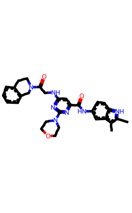 Cc1[nH]c2ccc(NC(=O)c3cc(NCC(=O)N4CCc5ccccc5C4)nc(N4CCOCC4)n3)cc2c1C